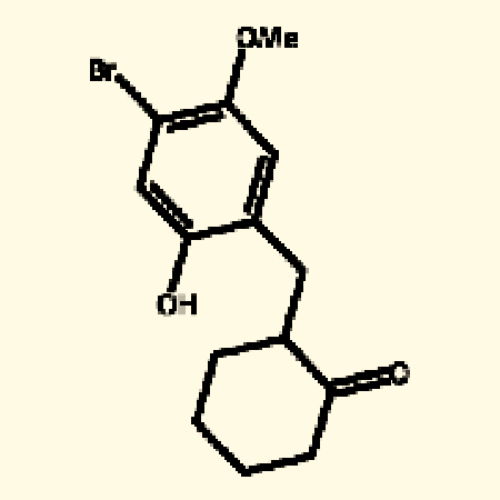 COc1cc(CC2CCCCC2=O)c(O)cc1Br